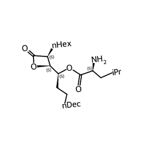 CCCCCCCCCCCC[C@H](OC(=O)[C@@H](N)CC(C)C)[C@H]1OC(=O)[C@H]1CCCCCC